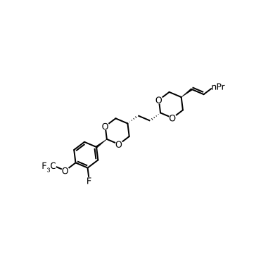 CCCC=C[C@H]1CO[C@H](CC[C@H]2CO[C@H](c3ccc(OC(F)(F)F)c(F)c3)OC2)OC1